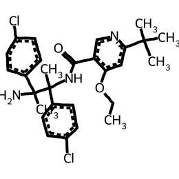 CCOc1cc(C(C)(C)C)ncc1C(=O)NC(C)(c1ccc(Cl)cc1)C(C)(N)c1ccc(Cl)cc1